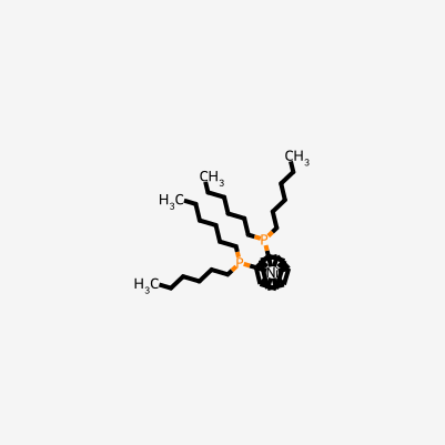 CCCCCCP(CCCCCC)[C]12[CH]3[CH]4[CH]5[C]1(P(CCCCCC)CCCCCC)[Ni]43521678[CH]2[CH]1[CH]6[CH]7[CH]28